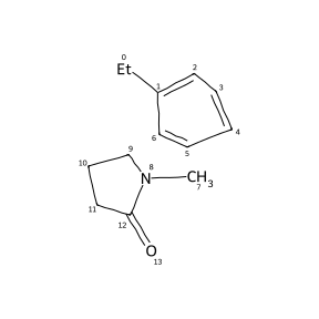 CCc1ccccc1.CN1CCCC1=O